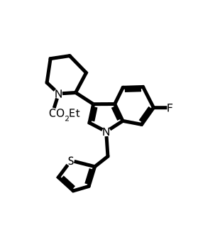 CCOC(=O)N1CCCCC1c1cn(Cc2cccs2)c2cc(F)ccc12